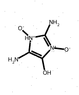 NC1=C(O)[N+]([O-])=C(N)[NH+]1[O-]